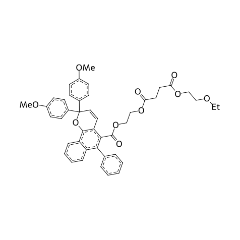 CCOCCOC(=O)CCC(=O)OCCOC(=O)c1c2c(c3ccccc3c1-c1ccccc1)OC(c1ccc(OC)cc1)(c1ccc(OC)cc1)C=C2